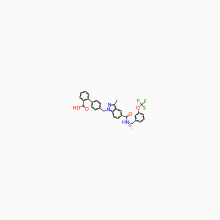 Cc1nn(Cc2ccc(-c3ccccc3C(=O)O)cc2)c2ccc(C(=O)N[C@@H](C)c3cccc(OC(F)(F)F)c3)cc12